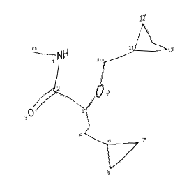 CNC(=O)C(CC1CC1)OCC1CC1